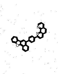 c1cnc2c(c1)ccc1ccc(-c3ccc(-c4cc5c6ccccc6oc5c5ccccc45)cc3)nc12